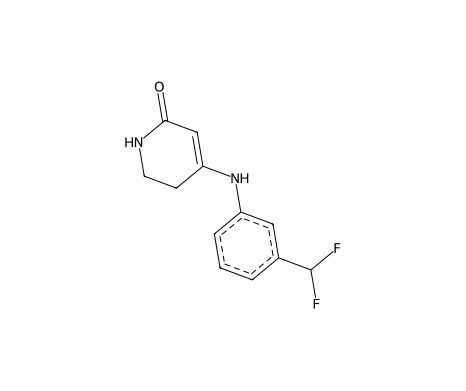 O=C1C=C(Nc2cccc(C(F)F)c2)CCN1